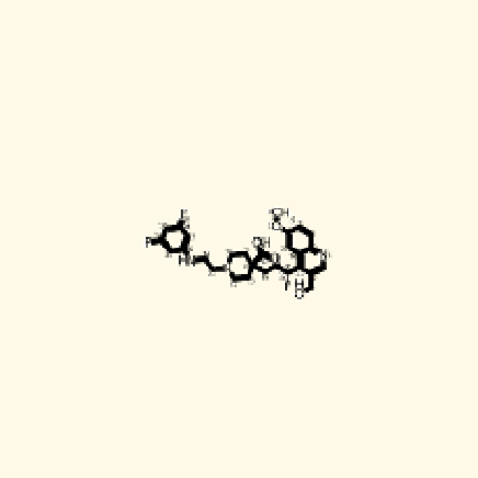 COc1ccc2ncc(CO)c([C@H](F)CCC3(C(=O)O)CCN(CCNc4cc(F)cc(F)c4)CC3)c2c1